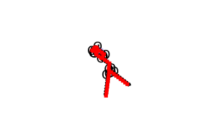 CCCCCCCCCCCCCCCC(=O)OCC(COC(=O)CCCCCCCCCCCCCCC)OC(=O)CC(C)CCCCCCC(=O)OCCCC(C)C(=O)Oc1c(C/C=C(\C)CCC(=O)OC)c(OC)c(C)c2c1C(=O)OC2